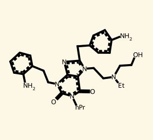 CCCn1c(=O)c2c(nc(Cc3ccc(N)cc3)n2CCN(CC)CCO)n(CCc2ccccc2N)c1=O